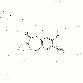 CCN1CCc2cc(N)c(OC)cc2CC1=O